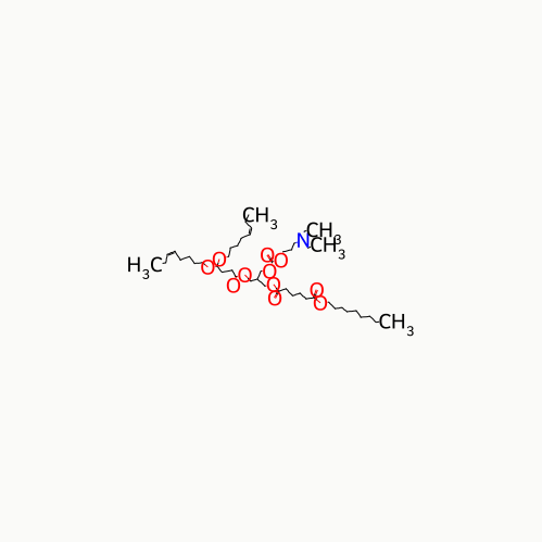 CC/C=C\CCCCOC(CCC(=O)OCC(COC(=O)CCCCC(=O)OCCCCCCCCC)COC(=O)OCCCN(CC)CC)OCCCC/C=C\CC